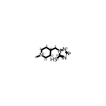 CN1CCC(Cn2nnnc2S)CC1